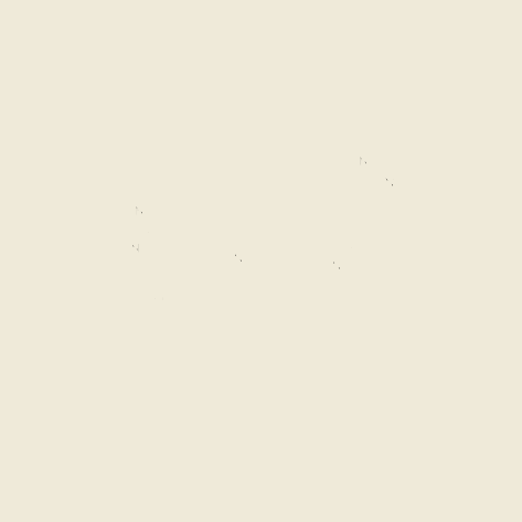 COc1cc(OC)cc(N(CC#Cc2nccn2C)c2ccc3ncc(-c4cnn(C)c4)cc3c2)c1